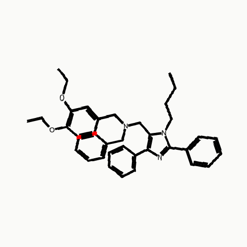 CCCCn1c(-c2ccccc2)nc(-c2ccccc2)c1CN(Cc1ccccc1)Cc1ccc(OCC)c(OCC)c1